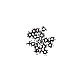 CC(C)(C)c1ccc2c(c1)c1cc(C(C)(C)C)ccc1n2-c1cc2c3c(c1)N(c1ccc4c5ccccc5c5ccccc5c4c1)c1cc(N(c4ccccc4)c4ccccc4)ccc1B3c1ccc(N(c3ccccc3)c3ccccc3)cc1N2c1ccc2c3ccccc3c3ccccc3c2c1